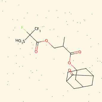 CC(COC(=O)C(F)(C(F)(F)F)S(=O)(=O)O)C(=O)OC12CC3CC(C1)C(=O)C(C3)C2